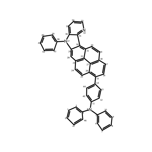 c1ccc(N(c2ccccc2)c2ccc(-c3ccc4ccc5c6c(ccc3c46)cc3c5c4ncccc4n3-c3ccccc3)cc2)cc1